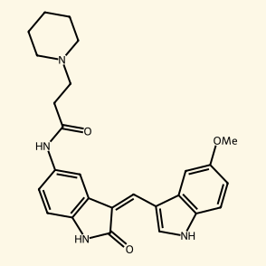 COc1ccc2[nH]cc(C=C3C(=O)Nc4ccc(NC(=O)CCN5CCCCC5)cc43)c2c1